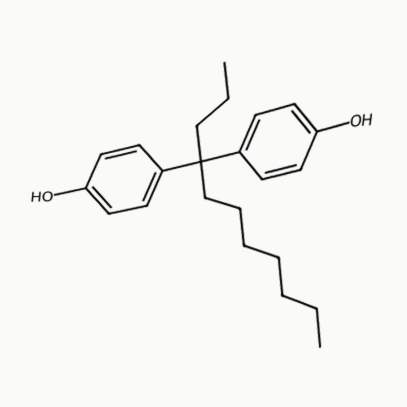 CCCCCCCC(CCC)(c1ccc(O)cc1)c1ccc(O)cc1